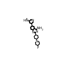 CNc1cncc(-c2ccc3nc(C4CCC(N5CCC(F)CC5)CC4)nc(N)c3c2)c1